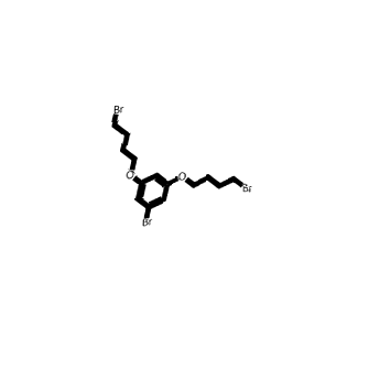 BrCCCCOc1cc(Br)cc(OCCCCBr)c1